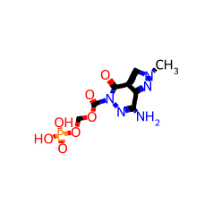 Cn1cc2c(=O)n(C(=O)OCOP(=O)(O)O)nc(N)c2n1